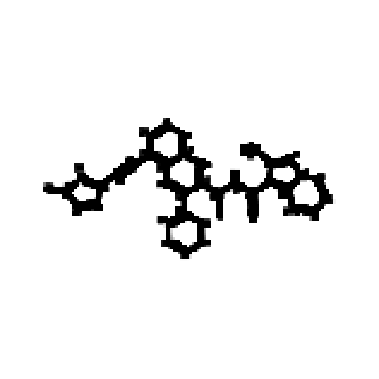 C[C@H](NC(=O)c1c(N)nn2cccnc12)c1nc2cccc(C#Cc3ccn(C)n3)c2nc1-c1ccccc1